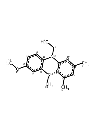 CCN(c1nc(C)cc(C)n1)c1ccc(OC)cc1SC